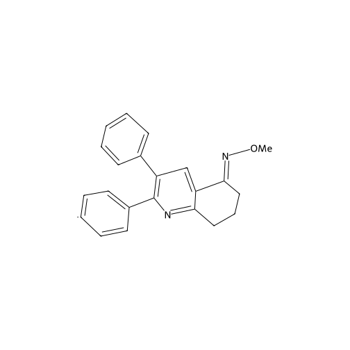 CON=C1CCCc2nc(-c3cc[c]cc3)c(-c3ccccc3)cc21